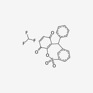 FC(F)F.O=C1C=CC(=O)C2=C1OS(=O)(=O)c1cccc(c1)C2c1ccccc1